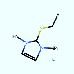 CC(=O)CSC1N(C(C)C)C=CN1C(C)C.Cl